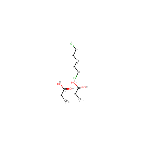 BrCC[Te]CCBr.CCC(=O)O.CCC(=O)O